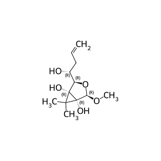 C=CC[C@@H](O)[C@H]1O[C@@H](OC)[C@@]2(O)C(C)(C)[C@@]12O